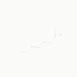 BrCCCCCC1CN1